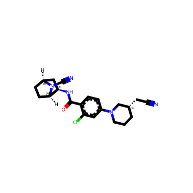 N#CC[C@@H]1CCCN(c2ccc(C(=O)N[C@@H]3C[C@@H]4CC[C@H]3N4C#N)c(Cl)c2)C1